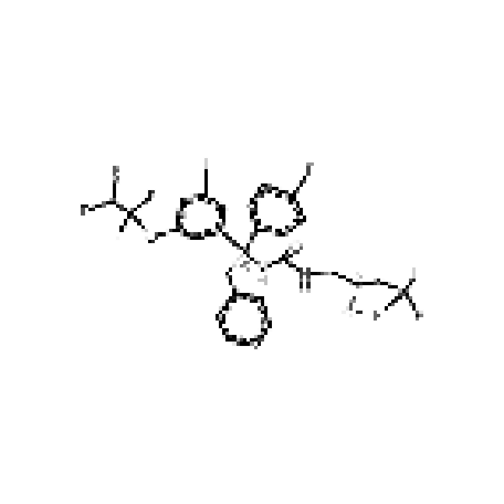 O=C(NC[C@@H](O)CC(F)(F)F)N[C@](Cc1ccccc1)(c1ccc(F)cc1)c1cc(F)cc(OC(F)(F)C(F)F)c1